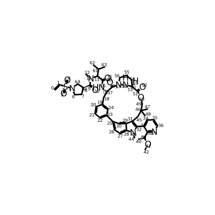 C=CS(=O)(=O)N1CC[C@H](C(=O)N(C)C(C(=O)N[C@H]2Cc3cccc(c3)-c3ccc4c(c3)c(c(-c3cccnc3[C@H](C)OC)n4C)CC(C)(C)COC(=O)[C@@H]3CCCN(N3)C2=O)C(C)C)C1